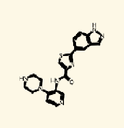 O=C(Nc1cnccc1N1CCNCC1)c1csc(-c2ccc3[nH]ncc3c2)n1